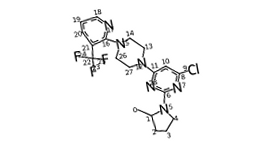 CC1CCCN1c1nc(Cl)cc(N2CCN(c3ncccc3C(F)(F)F)CC2)n1